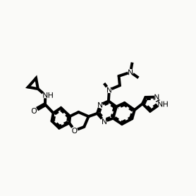 CN(C)CCN(C)c1nc(C2COc3ccc(C(=O)NC4CC4)cc3C2)nc2ccc(-c3cn[nH]c3)cc12